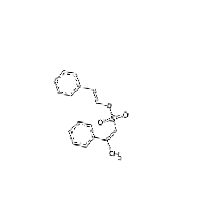 CC(=CS(=O)(=O)OC=Cc1ccccc1)c1ccccc1